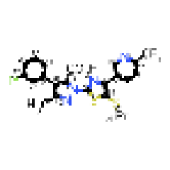 Cc1nn(-c2nc(-c3ccc(C(F)(F)F)nc3)c(SC(C)C)s2)c(C(=O)O)c1-c1cccc(F)c1